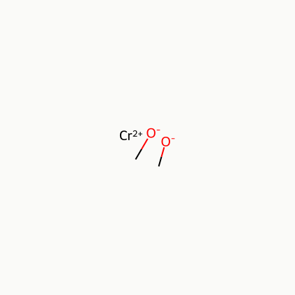 C[O-].C[O-].[Cr+2]